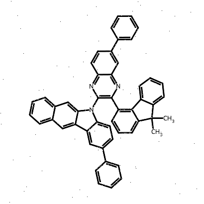 CC1(C)c2ccccc2-c2c(-c3nc4cc(-c5ccccc5)ccc4nc3-n3c4ccc(-c5ccccc5)cc4c4cc5ccccc5cc43)cccc21